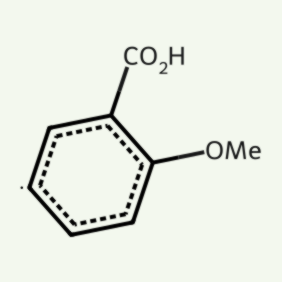 COc1cc[c]cc1C(=O)O